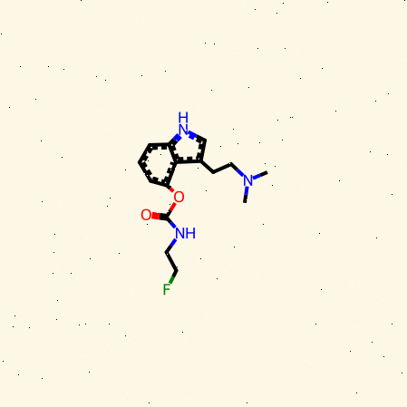 CN(C)CCc1c[nH]c2cccc(OC(=O)NCCF)c12